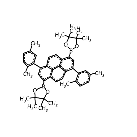 Cc1ccc(C)c(-c2cc(B3OC(C)(C)C(C)(C)O3)c3ccc4c(-c5cc(C)ccc5C)cc(B5OC(C)(C)C(C)(C)O5)c5ccc2c3c54)c1